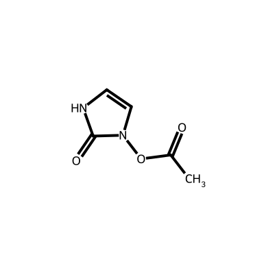 CC(=O)On1cc[nH]c1=O